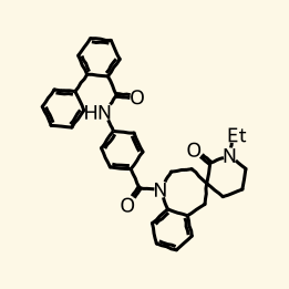 CCN1CCCC2(CCN(C(=O)c3ccc(NC(=O)c4ccccc4-c4ccccc4)cc3)c3ccccc3C2)C1=O